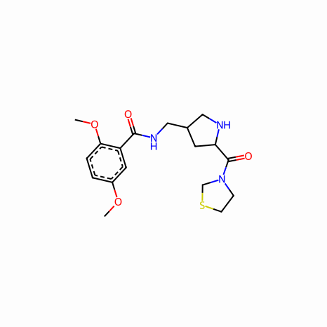 COc1ccc(OC)c(C(=O)NCC2CNC(C(=O)N3CCSC3)C2)c1